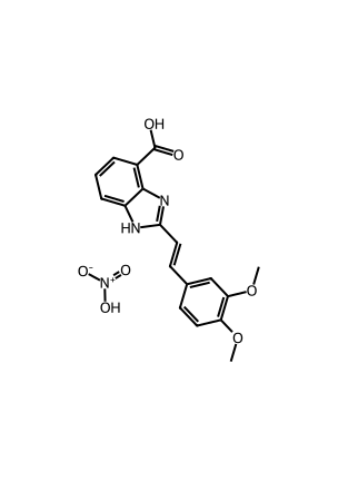 COc1ccc(/C=C/c2nc3c(C(=O)O)cccc3[nH]2)cc1OC.O=[N+]([O-])O